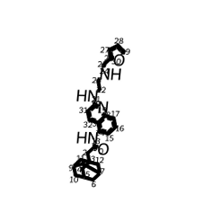 O=C(CC12CC3CC(CC(C3)C1)C2)Nc1cccc2nc(NCCNCc3ccco3)ccc12